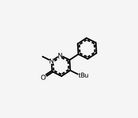 Cn1nc(-c2ccccc2)c(C(C)(C)C)cc1=O